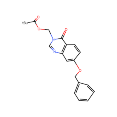 CC(C)(C)C(=O)OCn1cnc2cc(OCc3ccccc3)ccc2c1=O